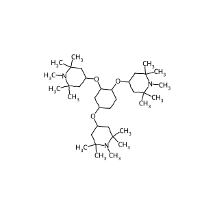 CN1C(C)(C)CC(OC2CCC(OC3CC(C)(C)N(C)C(C)(C)C3)C(OC3CC(C)(C)N(C)C(C)(C)C3)C2)CC1(C)C